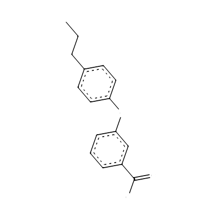 CCCc1ccc(Oc2cccc(C(=O)O)c2)cc1